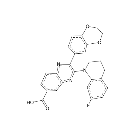 O=C(O)c1ccc2nc(-c3ccc4c(c3)OCCO4)c(N3CCCc4ccc(F)cc43)nc2c1